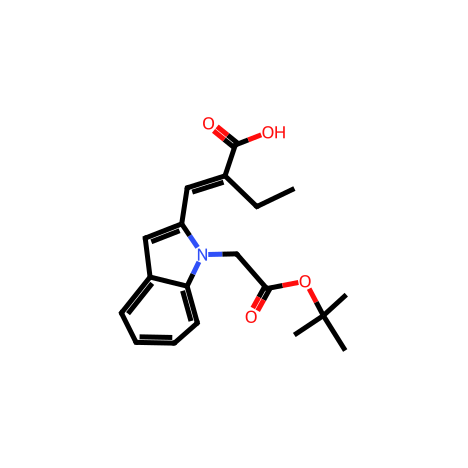 CCC(=Cc1cc2ccccc2n1CC(=O)OC(C)(C)C)C(=O)O